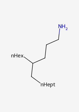 CCCCCCCCC(CCCN)CCCCCC